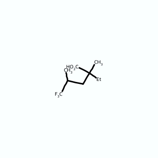 CCC(C)(CC(C)C(F)(F)F)C(=O)O